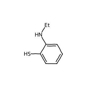 CCNc1ccccc1S